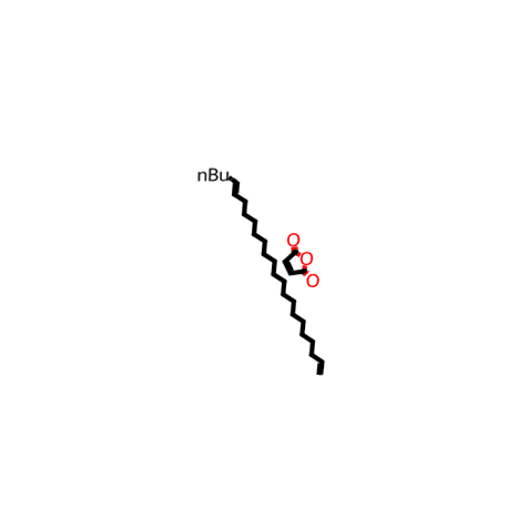 C=CCCCCCCCCCCCCCCCCC=CCCCC.O=C1C=CC(=O)O1